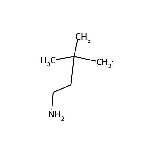 [CH2]C(C)(C)CCN